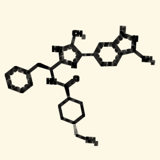 Cc1[nH]c([C@H](Cc2ccccc2)NC(=O)[C@H]2CC[C@H](CN)CC2)nc1-c1ccc2c(N)n[nH]c2c1